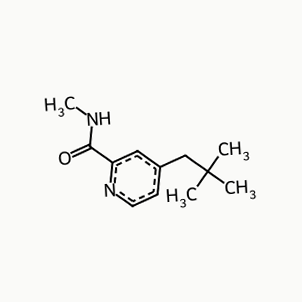 CNC(=O)c1cc(CC(C)(C)C)ccn1